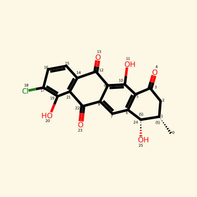 C[C@H]1CC(=O)c2c(cc3c(c2O)C(=O)c2ccc(Cl)c(O)c2C3=O)[C@H]1O